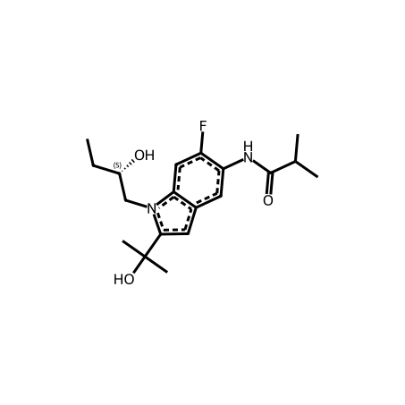 CC[C@H](O)Cn1c(C(C)(C)O)cc2cc(NC(=O)C(C)C)c(F)cc21